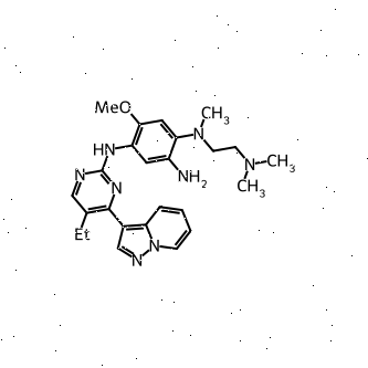 CCc1cnc(Nc2cc(N)c(N(C)CCN(C)C)cc2OC)nc1-c1cnn2ccccc12